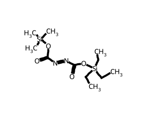 CC[Si](CC)(CC)OC(=O)N=NC(=O)O[Si](C)(C)C